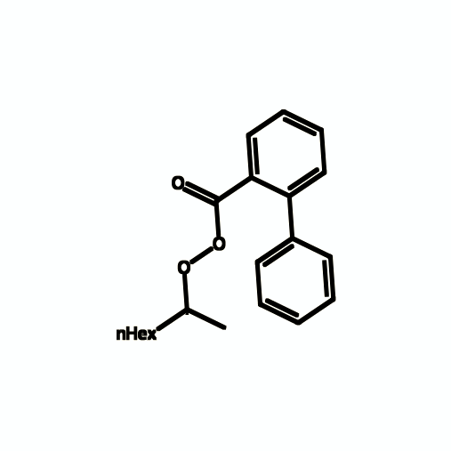 CCCCCC[C](C)OOC(=O)c1ccccc1-c1ccccc1